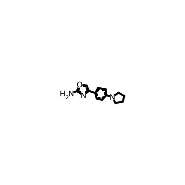 Nc1nc(-c2ccc(N3CCCC3)cc2)co1